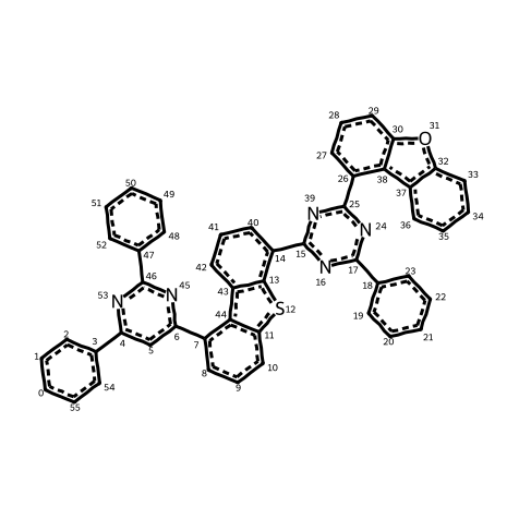 c1ccc(-c2cc(-c3cccc4sc5c(-c6nc(-c7ccccc7)nc(-c7cccc8oc9ccccc9c78)n6)cccc5c34)nc(-c3ccccc3)n2)cc1